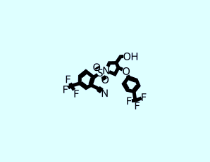 N#Cc1cc(C(F)(F)F)ccc1S(=O)(=O)N1CC(CO)C(Oc2ccc(C(F)(F)F)cc2)C1